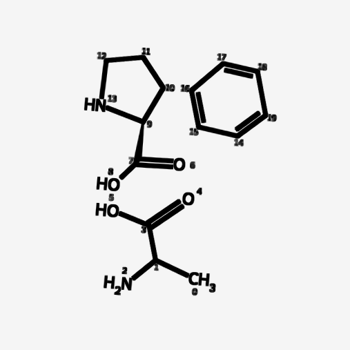 CC(N)C(=O)O.O=C(O)[C@@H]1CCCN1.c1ccccc1